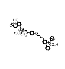 CC(C)(C)[Si](C)(C)O[C@@H](CNCCc1ccc(OCCCCc2ccc(-c3ccccc3)c(N(C(=O)O)C3CN4CCC3CC4)c2)cc1)c1ccc(O)c2[nH]c(=O)ccc12